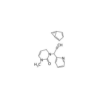 C#CC(c1ccccn1)N1CC=CN(C)C1=O.c1cc2cc-2c1